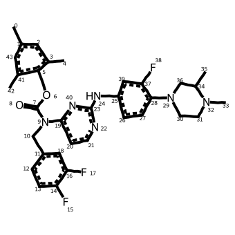 Cc1cc(C)c(OC(=O)N(Cc2ccc(F)c(F)c2)c2ccnc(Nc3ccc(N4CCN(C)C(C)C4)c(F)c3)n2)c(C)c1